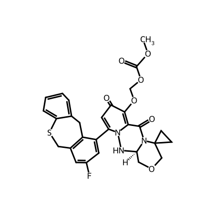 COC(=O)OCOc1c2n(c(-c3cc(F)cc4c3Cc3ccccc3SC4)cc1=O)N[C@@H]1COCC3(CC3)N1C2=O